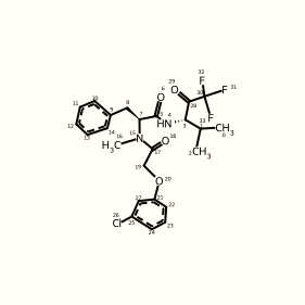 CC(C)[C@H](NC(=O)[C@H](Cc1ccccc1)N(C)C(=O)COc1cccc(Cl)c1)C(=O)C(F)(F)F